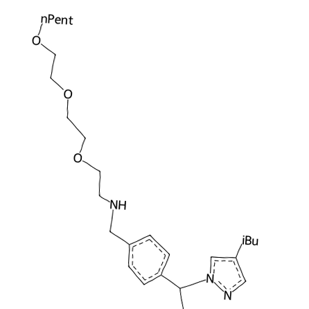 CCCCCOCCOCCOCCNCc1ccc(C(C)n2cc(C(C)CC)cn2)cc1